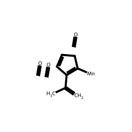 C=C(C)C1=[C]([Mn])CC=C1.[C]=O.[C]=O.[C]=O